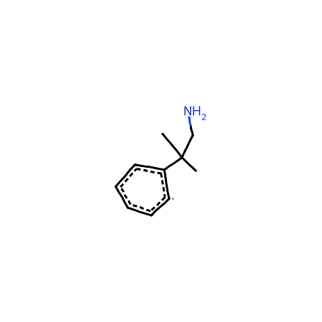 CC(C)(CN)c1[c]cccc1